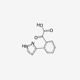 O=C(O)C(=O)c1ccccc1-c1cc[nH]n1